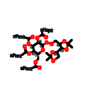 CCCCCCCC(=O)O[C@@H]1[C@H](OOC[C@H]2OC(C)(C)O[C@H]2[C@H]2COC(C)(C)O2)O[C@H](COC(=O)CCCCC)[C@@H](OC(=O)CCCCC)[C@@H]1OC(=O)CCCCC